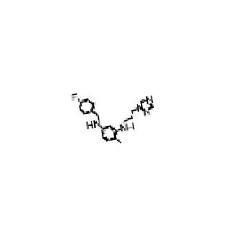 Cc1ccc(NCc2ccc(F)cc2)cc1NCCCn1cncn1